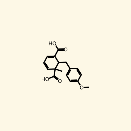 COc1ccc(CC2C(C(=O)O)=CC=CC2(C)C(=O)O)cc1